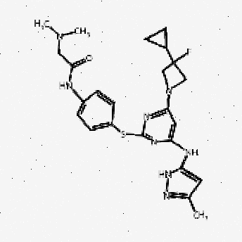 Cc1cc(Nc2cc(N3CC(F)(C4CC4)C3)nc(Sc3ccc(NC(=O)CN(C)C)cc3)n2)[nH]n1